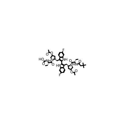 CC[C@H](NC(=O)O)C(=O)N1C[C@@H](OC(C)=O)C[C@H]1Cc1c(-c2[nH]c3cc(F)ccc3c2C[C@@H]2C[C@H](OC(C)=O)CN2C(=O)[C@H](CC)NC(=O)CC(C)(C)C)[nH]c2cc(F)ccc12